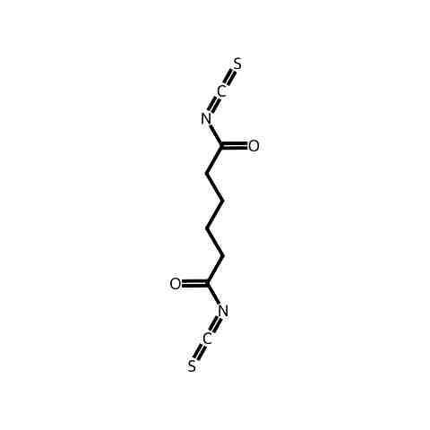 O=C(CCCCC(=O)N=C=S)N=C=S